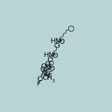 C[C@H](N(Cc1ccc(F)cc1)C(=O)CN1C(=O)O[C@@]2(CCc3cc(NC(=O)CCc4ccc(NC(=O)CCCCCC5CCCCCC5)cc4)ccc32)C1=O)C(F)(F)F